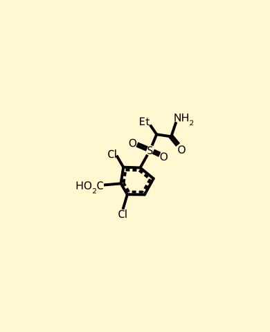 CCC(C(N)=O)S(=O)(=O)c1ccc(Cl)c(C(=O)O)c1Cl